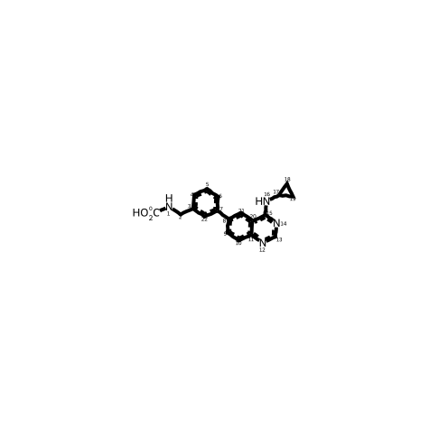 O=C(O)NCc1cccc(-c2ccc3ncnc(NC4CC4)c3c2)c1